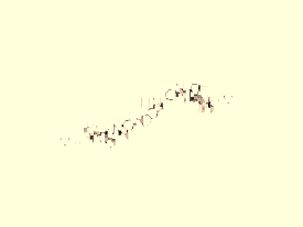 COC(=O)N[C@H](C(=O)N1CCCC1c1nc2ccc(-c3cc4cc5c(cc4[nH]3)CN(c3ccc4nc(C6CCCN6C(=O)[C@H](NC(=O)OC)C(C)C)[nH]c4c3)CC5)cc2[nH]1)C(C)C